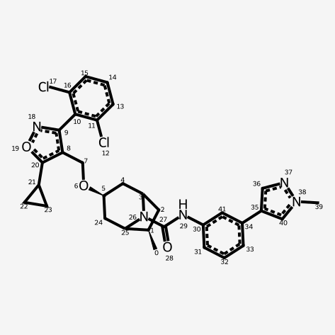 C[C@@H]1CC2C[C@H](OCc3c(-c4c(Cl)cccc4Cl)noc3C3CC3)CC1N2C(=O)Nc1cccc(-c2cnn(C)c2)c1